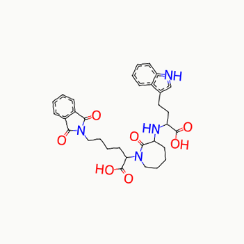 O=C(O)C(CCc1c[nH]c2ccccc12)NC1CCCCN(C(CCCCN2C(=O)c3ccccc3C2=O)C(=O)O)C1=O